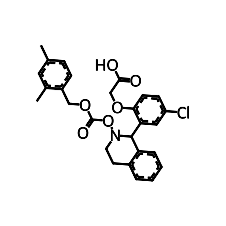 Cc1ccc(COC(=O)ON2CCc3ccccc3C2c2cc(Cl)ccc2OCC(=O)O)c(C)c1